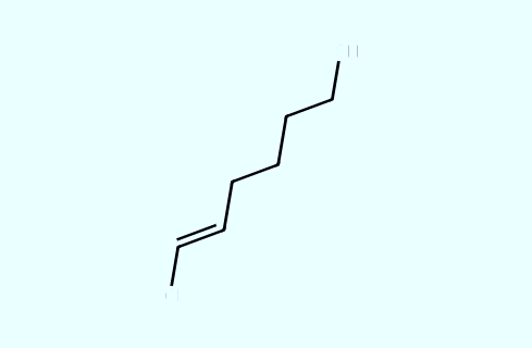 CCCCC/[C]=C/Cl